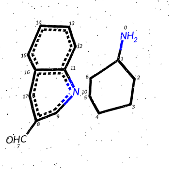 NC1CCCCC1.O=Cc1cnc2ccccc2c1